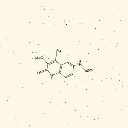 CCCCCCCCCCNc1ccc2c(c1)c(O)c(OC)c(=O)n2C